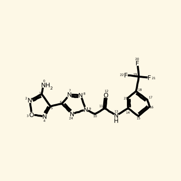 Nc1nonc1-c1nnn(CC(=O)Nc2cccc(C(F)(F)F)c2)n1